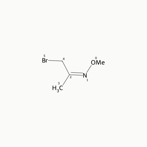 CON=C(C)CBr